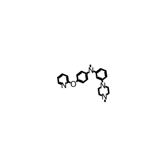 CN1CCN(c2cccc(N(C)c3ccc(Oc4ccccn4)cc3)c2)CC1